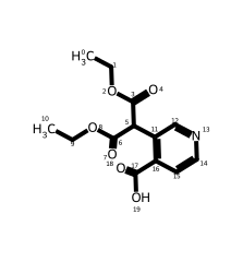 CCOC(=O)C(C(=O)OCC)c1cnccc1C(=O)O